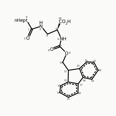 CCCCCCCC(=O)NC[C@H](NC(=O)OCC1c2ccccc2-c2ccccc21)C(=O)O